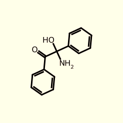 NC(O)(C(=O)c1ccccc1)c1ccccc1